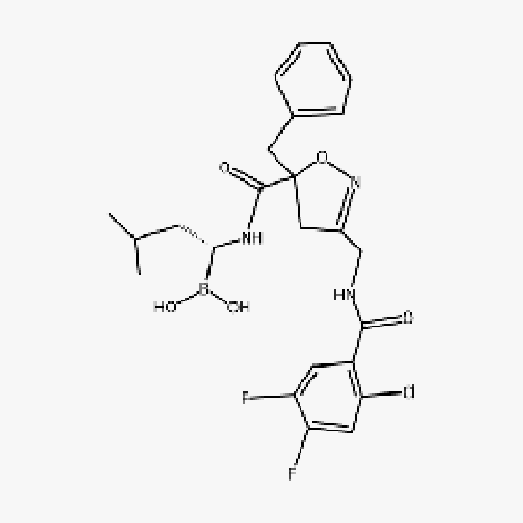 CC(C)C[C@H](NC(=O)C1(Cc2ccccc2)CC(CNC(=O)c2cc(F)c(F)cc2Cl)=NO1)B(O)O